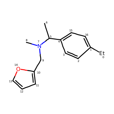 CCc1ccc(C(C)N(C)Cc2ccco2)cc1